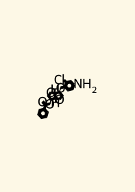 Nc1ccc(O[C@H]2CO[C@H]3[C@@H]2OC[C@@H]3OC(=O)c2ccccc2)c(Cl)c1